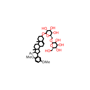 COc1ccc(OC)c(C2CC3C4CC=C5CC(OC6O[C@H](CO[C@@H]7O[C@H](CO)[C@@H](O)[C@H](O)C7O)[C@@H](O)[C@H](O)[C@H]6O)CCC5(C)C4CCC3(C)C2C(C)=O)c1